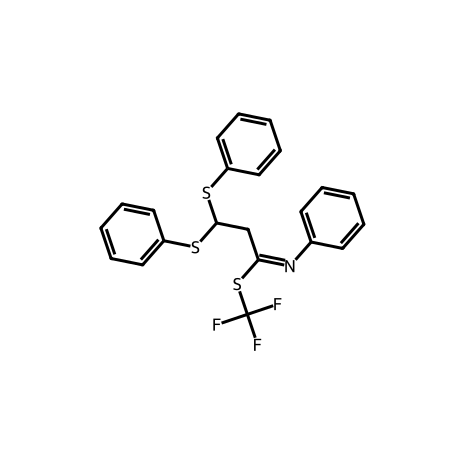 FC(F)(F)SC(CC(Sc1ccccc1)Sc1ccccc1)=Nc1ccccc1